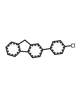 Clc1ccc(-c2ccc3c(c2)Cc2ccccc2-3)cc1